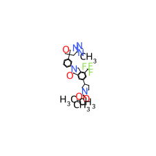 Cn1cnnc1CC1(c2cccc(N3Cc4c(cc(C5CCN(C(=O)OC(C)(C)C)C5)cc4C(F)(F)F)C3=O)c2)COC1